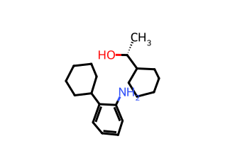 C[C@@H](O)C1CCCCC1.Nc1ccccc1C1CCCCC1